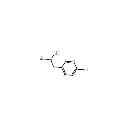 CC(=O)N(Cc1ccc(Cl)cc1)C(C)(C)C